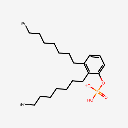 CC(C)CCCCCCCc1cccc(OP(=O)(O)O)c1CCCCCCCC(C)C